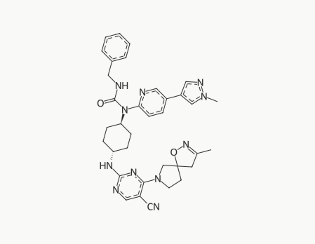 CC1=NOC2(CCN(c3nc(N[C@H]4CC[C@H](N(C(=O)NCc5ccccc5)c5ccc(-c6cnn(C)c6)cn5)CC4)ncc3C#N)C2)C1